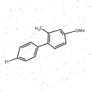 CCc1ccc(-c2ccc(OC)cc2C)cc1